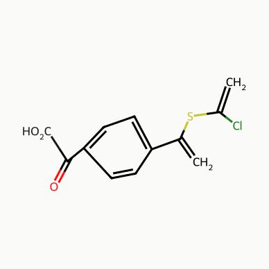 C=C(Cl)SC(=C)c1ccc(C(=O)C(=O)O)cc1